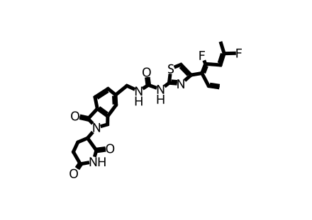 C=C/C(=C(F)\C=C(/C)F)c1csc(NC(=O)NCc2ccc3c(c2)CN(C2CCC(=O)NC2=O)C3=O)n1